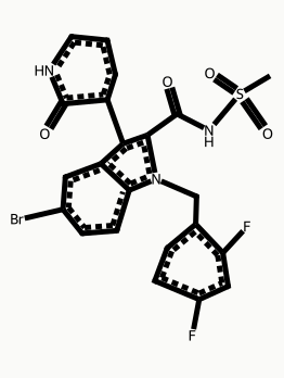 CS(=O)(=O)NC(=O)c1c(-c2ccc[nH]c2=O)c2cc(Br)ccc2n1Cc1ccc(F)cc1F